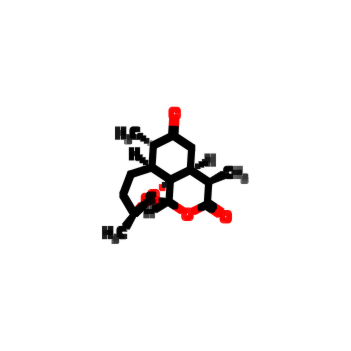 C[C@@H]1C(=O)C[C@H]2[C@@H](C)C(=O)O[C@@H]3O[C@@]4(C)CC[C@@H]1[C@]32OC4